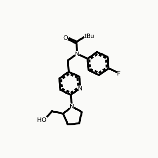 CC(C)(C)C(=O)N(Cc1ccc(N2CCCC2CO)nc1)c1ccc(F)cc1